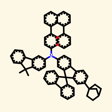 CC1(C)c2ccccc2-c2cc(N(c3ccc(-c4cccc5cccc(-c6ccccc6)c45)cc3)c3ccc4c(c3)C3(c5ccccc5-c5ccccc53)c3cc(C56CCC(CC5)C6)ccc3-4)ccc21